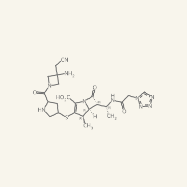 C[C@@H](NC(=O)Cn1cnnn1)[C@H]1C(=O)N2C(C(=O)O)=C(SC3CNC(C(=O)N4CC(N)(CC#N)C4)C3)[C@H](C)[C@H]12